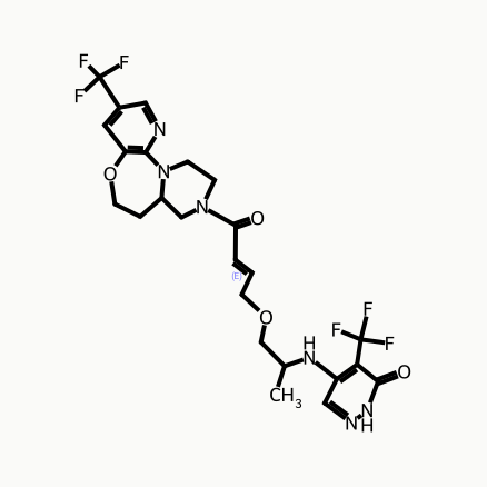 CC(COC/C=C/C(=O)N1CCN2c3ncc(C(F)(F)F)cc3OCCC2C1)Nc1cn[nH]c(=O)c1C(F)(F)F